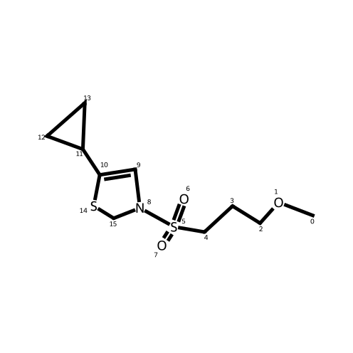 COCCCS(=O)(=O)N1C=C(C2CC2)SC1